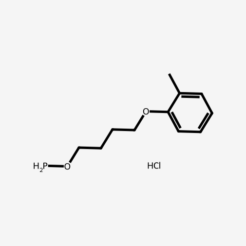 Cc1ccccc1OCCCCOP.Cl